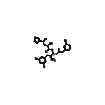 CCc1cccc(CNC[C@@H](OC(=O)C(O)CC(=O)c2ccsc2)[C@@H](N)Cc2cc(F)cc(F)c2)c1